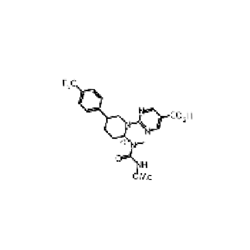 CONC(=O)N(C)[C@H]1CCC(c2ccc(C(F)(F)F)cc2)CN1c1ncc(C(=O)O)cn1